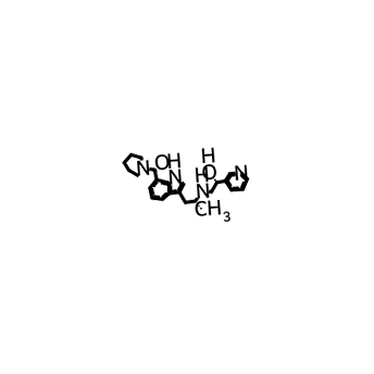 C[C@H](Cc1c[nH]c2c(C(=O)N3CCCCC3)cccc12)NC[C@H](O)c1cccnc1